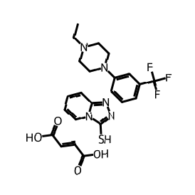 CCN1CCN(c2cccc(C(F)(F)F)c2)CC1.O=C(O)C=CC(=O)O.Sc1nnc2ccccn12